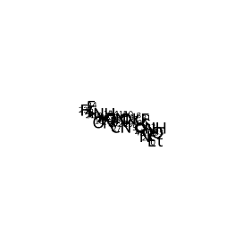 CCc1nc2ccc(C(C)N3CCN(c4ccc(C(=O)NC5CC5(F)F)nc4C#N)CC3)c(F)c2[nH]c1=O